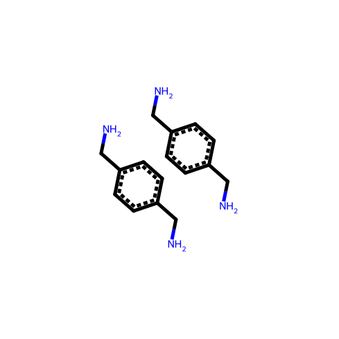 NCc1ccc(CN)cc1.NCc1ccc(CN)cc1